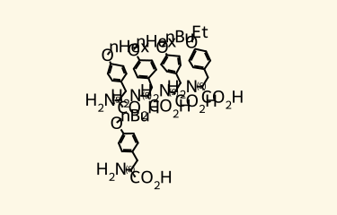 CCCCCCOc1ccc(C[C@H](N)C(=O)O)cc1.CCCCCCOc1ccc(C[C@H](N)C(=O)O)cc1.CCCCOc1ccc(C[C@H](N)C(=O)O)cc1.CCCCOc1ccc(C[C@H](N)C(=O)O)cc1.CCOc1ccc(C[C@H](N)C(=O)O)cc1